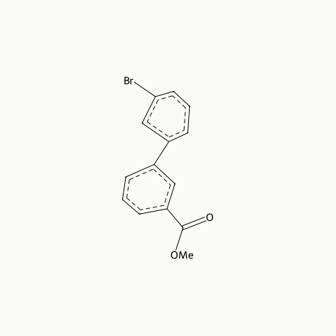 COC(=O)c1cccc(-c2cccc(Br)c2)c1